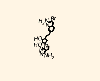 Nc1nc2cc(CCC3C[C@@H](n4ccc5c(N)ncnc54)C(O)C3O)ccc2cc1Br